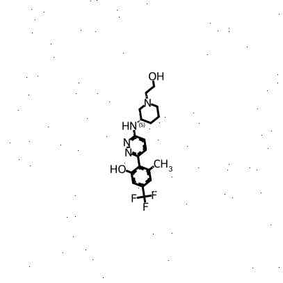 Cc1cc(C(F)(F)F)cc(O)c1-c1ccc(N[C@H]2CCCN(CCO)C2)nn1